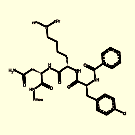 CCCCCCNC(=O)[C@H](CC(N)=O)NC(=O)[C@H](CCCCN(CCC)CCC)NC(=O)[C@H](Cc1ccc(Cl)cc1)NC(=O)c1ccccc1